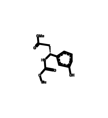 COC(=O)C[C@@H](NC(=O)OC(C)(C)C)c1cccc(O)c1